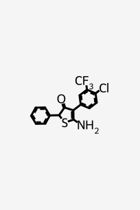 NC1=C(c2ccc(Cl)c(C(F)(F)F)c2)C(=O)C(c2ccccc2)S1